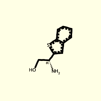 N[C@H](CO)c1cc2ccccc2s1